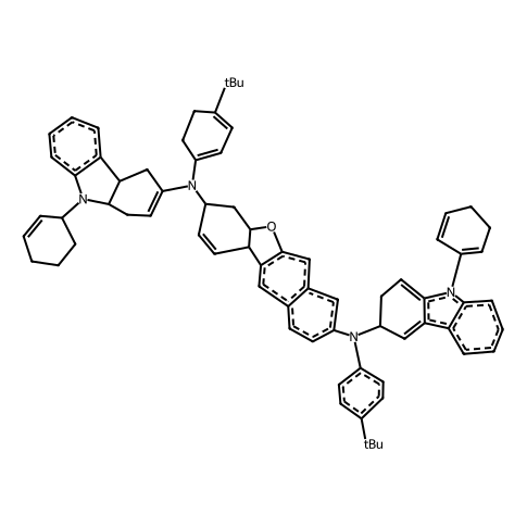 CC(C)(C)C1=CC=C(N(C2=CCC3C(C2)c2ccccc2N3C2C=CCCC2)C2C=CC3c4cc5ccc(N(c6ccc(C(C)(C)C)cc6)C6C=c7c(n(C8=CCCC=C8)c8ccccc78)=CC6)cc5cc4OC3C2)CC1